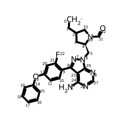 [CH2]CC1C[C@H](Cn2nc(-c3ccc(Oc4ccccc4)cc3F)c3c(N)ncnc32)N(C=O)C1